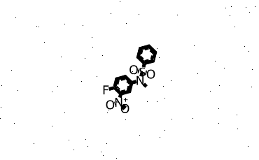 CN(c1ccc(F)c([N+](=O)[O-])c1)S(=O)(=O)c1ccccc1